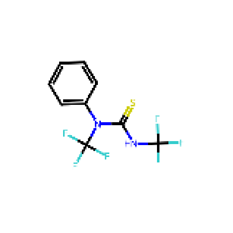 FC(F)(F)NC(=S)N(c1ccccc1)C(F)(F)F